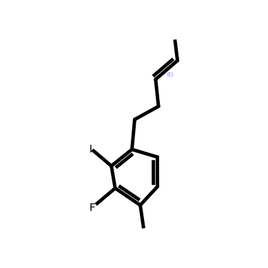 C/C=C/CCc1ccc(C)c(F)c1I